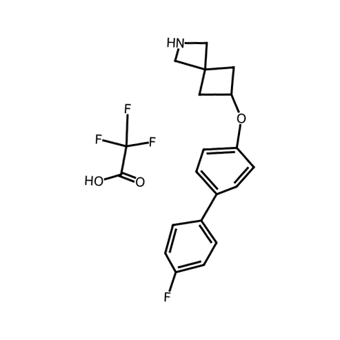 Fc1ccc(-c2ccc(OC3CC4(CNC4)C3)cc2)cc1.O=C(O)C(F)(F)F